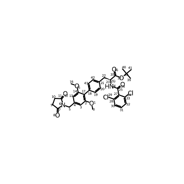 COc1cc(CN2C(=O)CCC2=O)cc(OC)c1-c1ccc(C[C@H](NC(=O)c2c(Cl)cccc2Cl)C(=O)OC(C)(C)C)cc1